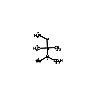 CC(C)(C)N(C(=O)O)C(C)(C)CN